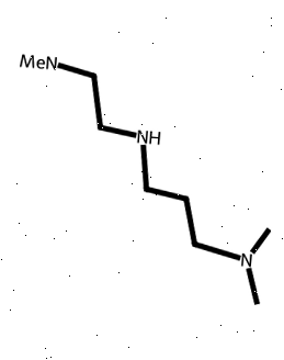 CNCCNCCCN(C)C